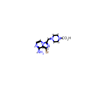 Nc1nccn2c(CN3CCN(C(=O)O)CC3)nc(Br)c12